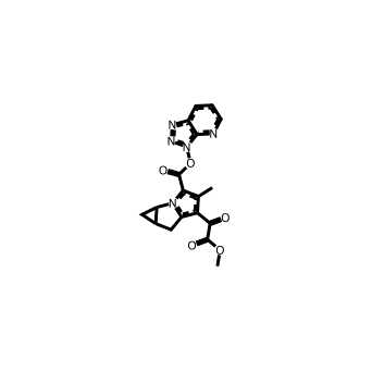 COC(=O)C(=O)c1c(C)c(C(=O)On2nnc3cccnc32)n2c1CC1CC12